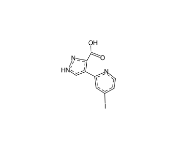 O=C(O)c1n[nH]cc1-c1cc(I)ccn1